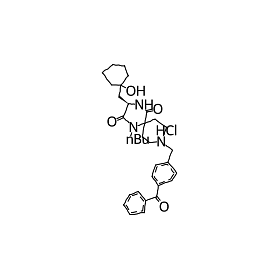 CCCCN1C(=O)[C@@H](CC2(O)CCCCC2)NC(=O)C12CCN(Cc1ccc(C(=O)c3ccccc3)cc1)CC2.Cl